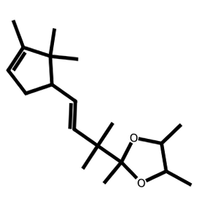 CC1=CCC(C=CC(C)(C)C2(C)OC(C)C(C)O2)C1(C)C